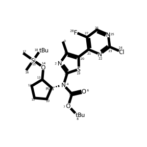 Cc1nc(N(C(=O)OC(C)(C)C)[C@@H]2CCCC2O[Si](C)(C)C(C)(C)C)sc1-c1nc(Cl)ncc1F